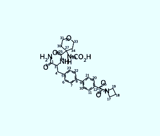 NC(=O)C(Cc1ccc(-c2ccc(S(=O)(=O)N3CCC3)cc2)cc1)NC(=O)C1(NC(=O)O)CCOCC1